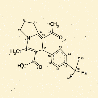 CC(=O)C1=C(C)N2CCCC2=C(C(C)=O)C1c1ccc(C(F)(F)F)cc1